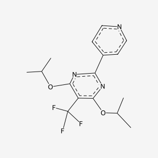 CC(C)Oc1nc(-c2ccncc2)nc(OC(C)C)c1C(F)(F)F